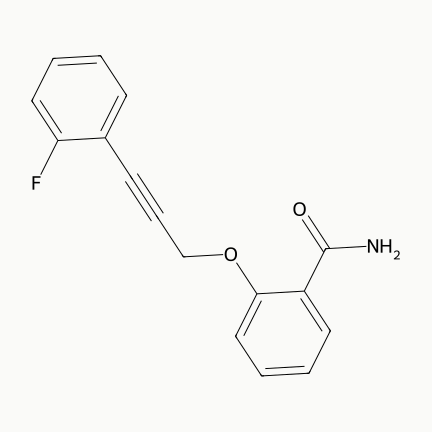 NC(=O)c1ccccc1OCC#Cc1ccccc1F